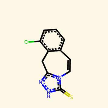 S=c1[nH]nc2n1C=Cc1cccc(Cl)c1C2